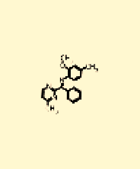 COc1cc(C)ccc1N=C(c1ccccc1)c1nccc(C)n1